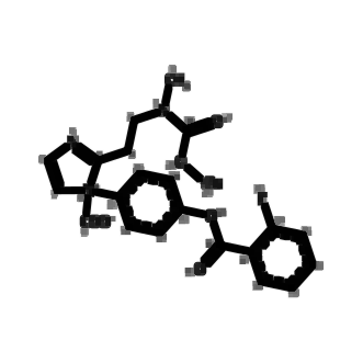 CN(CCC1=NC=C[N+]1(C(=O)[O-])c1ccc(OC(=O)c2ccccc2F)cc1)C(=O)OC(C)(C)C